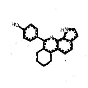 Oc1ccc(-c2nc3c(ccc4cc[nH]c43)c3c2CCCC3)cc1